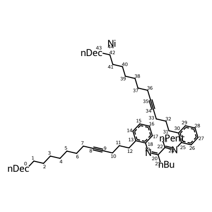 CCCCCCCCCCCCCCCCCC#CCCCc1ccccc1/N=C(CCCC)\C(CCCCC)=N\c1ccccc1CCCC#CCCCCCCCCCCCCCCCCC.[Ni]